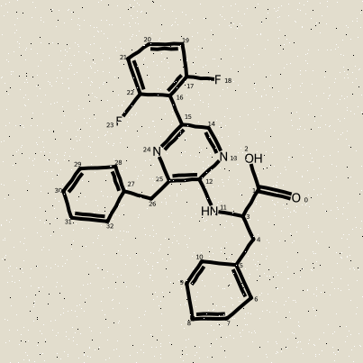 O=C(O)C(Cc1ccccc1)Nc1ncc(-c2c(F)cccc2F)nc1Cc1ccccc1